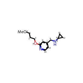 COCCCOc1cc(CNC2CC2)ccn1